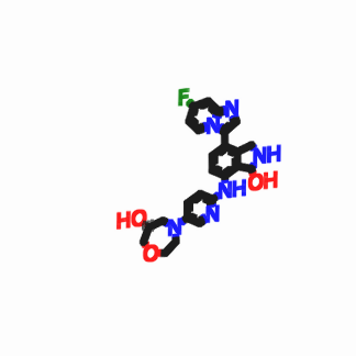 OC1NCc2c(-c3cnc4cc(F)ccn34)ccc(Nc3ccc(N4CCOC[C@@H](O)C4)cn3)c21